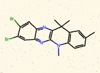 Cc1ccc2c(c1)C(C)(C)c1nc3cc(Br)c(Br)cc3nc1N2C